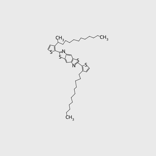 CCCCCCCCCCCCc1ccsc1-c1nc2cc3sc(-c4sccc4C(C)CCCCCCCCCCC)nc3cc2s1